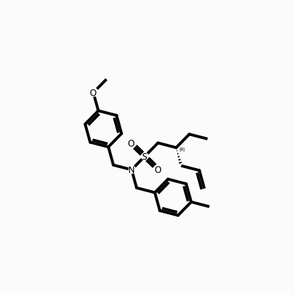 C=CC[C@@H](CC)CS(=O)(=O)N(Cc1ccc(C)cc1)Cc1ccc(OC)cc1